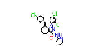 O=C(Nc1ccccn1)c1nn(-c2ccc(Cl)cc2Cl)c2c1CCCCC2=Cc1ccc(Cl)cc1